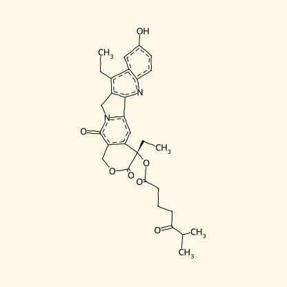 CCc1c2c(nc3ccc(O)cc13)-c1cc3c(c(=O)n1C2)COC(=O)[C@@]3(CC)OC(=O)CCCC(=O)C(C)C